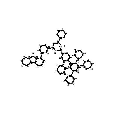 C1=C(c2ccccc2)NC(c2ccc(-c3c(-c4ccccc4)c(-c4ccccc4)nc(-c4ccccc4)c3-c3ccccc3)cc2)N=C1c1cccc(-c2cccc3c2oc2ccccc23)c1